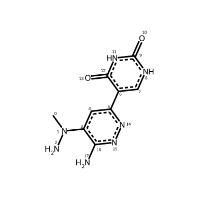 CN(N)c1cc(-c2c[nH]c(=O)[nH]c2=O)nnc1N